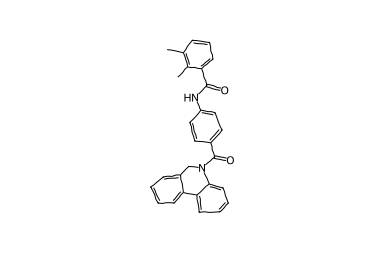 Cc1cccc(C(=O)Nc2ccc(C(=O)N3Cc4ccccc4-c4ccccc43)cc2)c1C